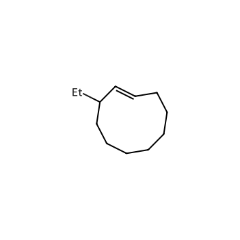 [CH2]CC1/C=C/CCCCCCC1